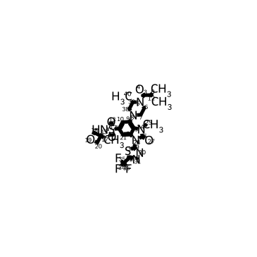 CC(C)C(=O)N1CCN(c2cc(S(=O)(=O)NC3(C)COC3)cc3c2n(C)c(=O)n3-c2nnc(C(F)(F)F)s2)C[C@H]1C